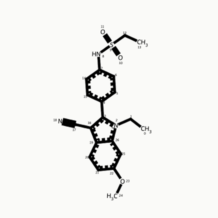 CCn1c(-c2ccc(NS(=O)(=O)CC)cc2)c(C#N)c2ccc(OC)cc21